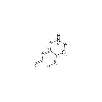 C=C/C=C1/CNCO/C1=C/C